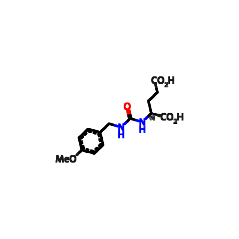 COc1ccc(CNC(=O)N[C@@H](CCC(=O)O)C(=O)O)cc1